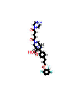 O=C(O)C1=C(c2ccc(CCCOc3c(F)ccc(F)c3F)cc2)C[C@@H]2CN(C(=O)CCCC(=O)N3CCNCC3)C[C@H]1N2